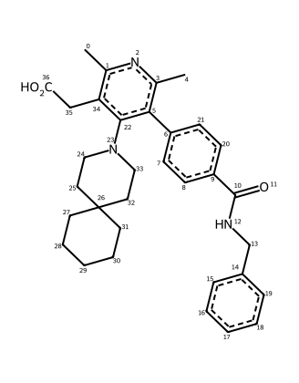 Cc1nc(C)c(-c2ccc(C(=O)NCc3ccccc3)cc2)c(N2CCC3(CCCCC3)CC2)c1CC(=O)O